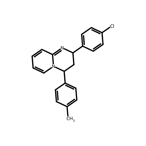 Cc1ccc(C2CC(c3ccc(Cl)cc3)N=C3C=CC=CN32)cc1